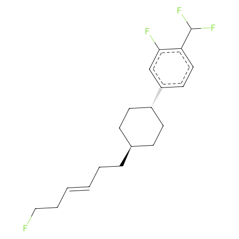 FCCC=CCC[C@H]1CC[C@H](c2ccc(C(F)F)c(F)c2)CC1